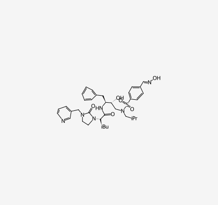 CC[C@H](C)[C@@H](C(=O)N[C@@H](Cc1ccccc1)[C@H](O)CN(CC(C)C)S(=O)(=O)c1ccc(/C=N/O)cc1)N1CCN(Cc2cccnc2)C1=O